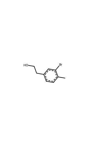 Cc1ccc(CCO)cc1Br